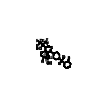 O=S(=O)(C1=CC=CCC1=S)N1CCN(c2ncc(C(O)(C(F)(F)F)C(F)(F)F)cn2)[C@@H](CN2[C@@H]3COC[C@H]2[C@@H](O)C3)C1